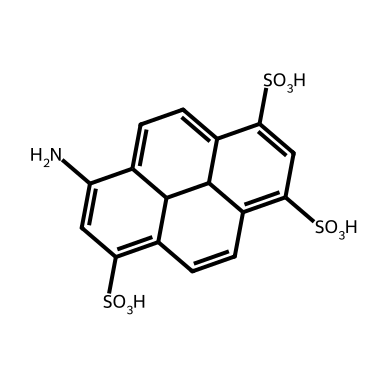 NC1=CC(S(=O)(=O)O)=C2C=CC3=C(S(=O)(=O)O)C=C(S(=O)(=O)O)C4=CC=C1C2C43